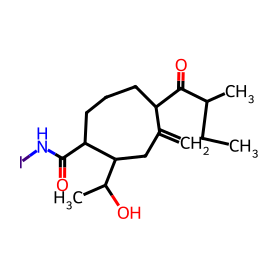 C=C1CC(C(C)O)C(C(=O)NI)CCCC1C(=O)C(C)CC